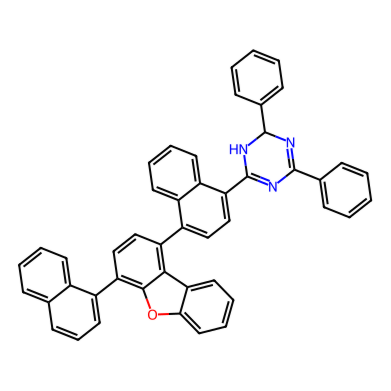 c1ccc(C2=NC(c3ccccc3)NC(c3ccc(-c4ccc(-c5cccc6ccccc56)c5oc6ccccc6c45)c4ccccc34)=N2)cc1